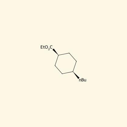 CCCC[C@H]1CC[C@@H](C(=O)OCC)CC1